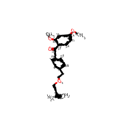 C=C(C)COCCc1ccc(C(=O)c2ccc(OC)cc2OC)cc1